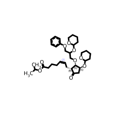 CC(C)OC(=O)CCC/C=C\C[C@H]1C(=O)C[C@H](OC2CCCCO2)[C@H]1OCC(COc1ccccc1)OC1CCCCO1